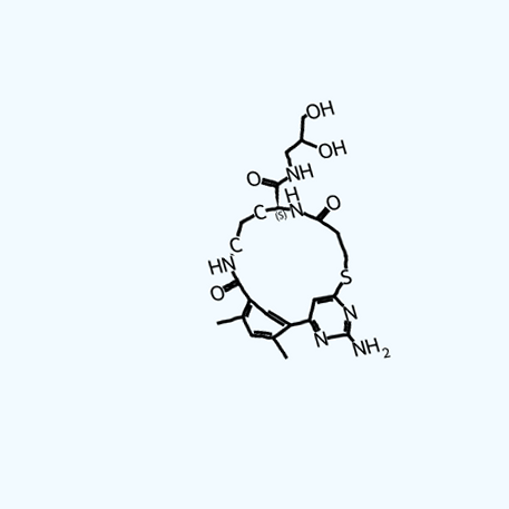 Cc1cc(C)c2cc1C(=O)NCCC[C@@H](C(=O)NCC(O)CO)NC(=O)CCSc1cc-2nc(N)n1